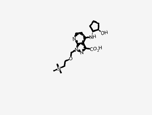 C[Si](C)(C)CCOCn1nc(C(=O)O)c2c(N[C@@H]3CCC[C@H]3O)ccnc21